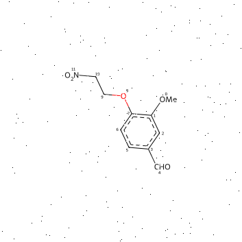 COc1cc(C=O)ccc1OCC[N+](=O)[O-]